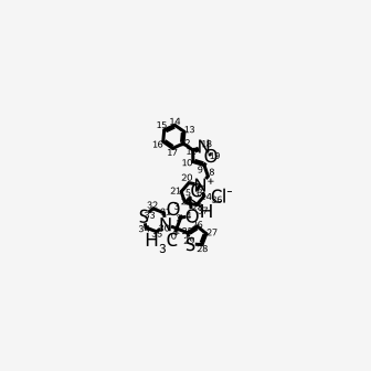 CC(C(=O)O[C@H]1C[N+]2(Cc3cc(-c4ccccc4)no3)CCC1CC2)(c1cccs1)N1CCSCC1.[Cl-]